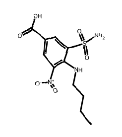 CCCCNc1c([N+](=O)[O-])cc(C(=O)O)cc1S(N)(=O)=O